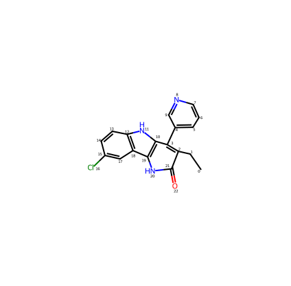 CCc1c(-c2cccnc2)c2[nH]c3ccc(Cl)cc3c2[nH]c1=O